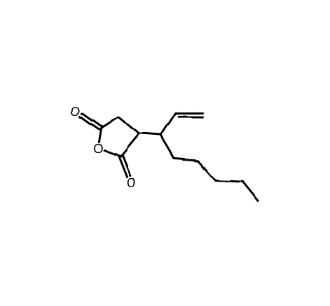 C=CC(CCCCC)C1CC(=O)OC1=O